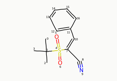 CC(C)(C)S(=O)(=O)C(C#N)=Cc1ccccc1